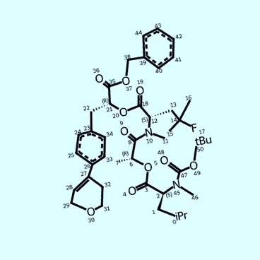 CC(C)C[C@@H](C(=O)O[C@H](C)C(=O)N(C)[C@@H](CC(C)(C)F)C(=O)O[C@H](Cc1ccc(C2=CCOCC2)cc1)C(=O)OCc1ccccc1)N(C)C(=O)OC(C)(C)C